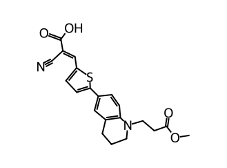 COC(=O)CCN1CCCc2cc(-c3ccc(/C=C(\C#N)C(=O)O)s3)ccc21